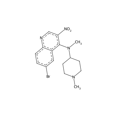 CN1CCC(N(C)c2c([N+](=O)[O-])cnc3ccc(Br)cc23)CC1